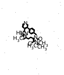 CCCCCc1c(Cl)n(C(C)(C)C)c(=O)n1Cc1ccc(-c2cnccc2-c2nnn[nH]2)cc1